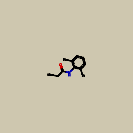 CCc1cccc(CC)c1NC(=O)CC(C)(C)C